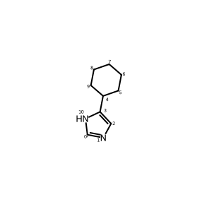 [c]1ncc(C2CCCCC2)[nH]1